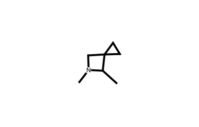 CC1N(C)CC12CC2